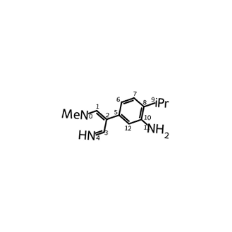 CN/C=C(\C=N)c1ccc(C(C)C)c(N)c1